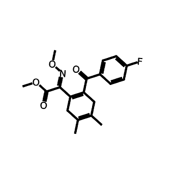 CON=C(C(=O)OC)C1=C(C(=O)c2ccc(F)cc2)CC(C)=C(C)C1